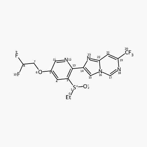 CC[S+]([O-])c1cc(OCC(F)F)cnc1-c1cn2cnc(C(F)(F)F)cc2n1